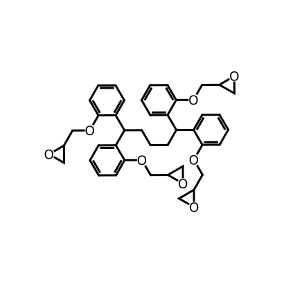 c1ccc(C(CCCC(c2ccccc2OCC2CO2)c2ccccc2OCC2CO2)c2ccccc2OCC2CO2)c(OCC2CO2)c1